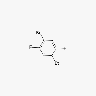 CCc1cc(F)c(Br)cc1F